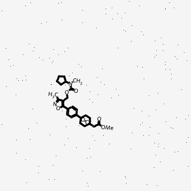 COC(=O)CC12CCC(c3ccc(-c4onc(C)c4COC(=O)N(C)C4CCCC4)cc3)(CC1)OC2